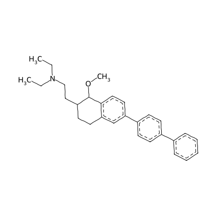 CCN(CC)CCC1CCc2cc(-c3ccc(-c4ccccc4)cc3)ccc2C1OC